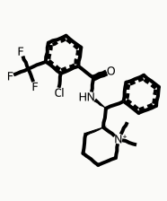 C[N+]1(C)CCCC[C@H]1[C@@H](NC(=O)c1cccc(C(F)(F)F)c1Cl)c1ccccc1